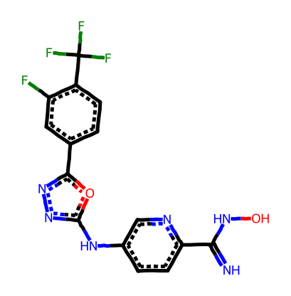 N=C(NO)c1ccc(Nc2nnc(-c3ccc(C(F)(F)F)c(F)c3)o2)cn1